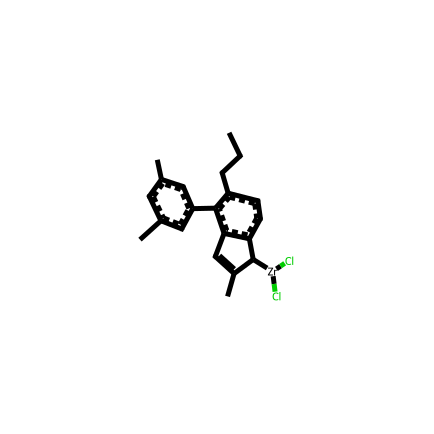 CCCc1ccc2c(c1-c1cc(C)cc(C)c1)C=C(C)[CH]2[Zr]([Cl])[Cl]